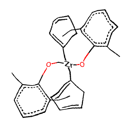 Cc1cccc(C)c1[O][Zr]([O]c1c(C)cccc1C)([C]1=CC=CC1)[C]1=CC=CC1